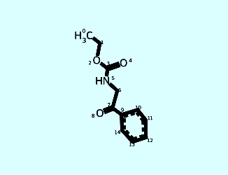 CCOC(=O)NCC(=O)c1ccccc1